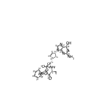 COC(=O)[C@H](C)NP(=O)(OC[C@@H]1C=C[C@H](n2cnc3c(O)nc(N)nc32)C1)Oc1ccccc1